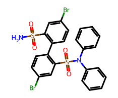 NS(=O)(=O)c1cc(Br)ccc1-c1ccc(Br)cc1S(=O)(=O)N(c1ccccc1)c1ccccc1